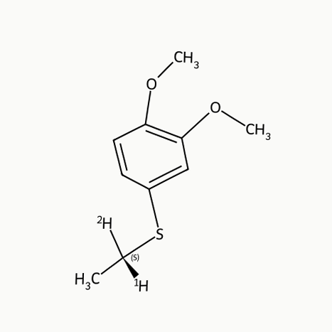 [1H][C@]([2H])(C)Sc1ccc(OC)c(OC)c1